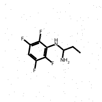 CCC(N)Nc1c(F)c(F)[c]c(F)c1F